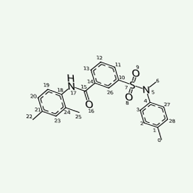 Cc1ccc(N(C)S(=O)(=O)c2cccc(C(=O)Nc3ccc(C)cc3C)c2)cc1